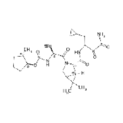 C[C@H]1CCC[C@@H]1OC(=O)N[C@H](C(=O)N1CC2[C@@H]([C@H]1C(=O)NC(CC1CC1)C(=O)C(N)=O)C2(C)C)C(C)(C)C